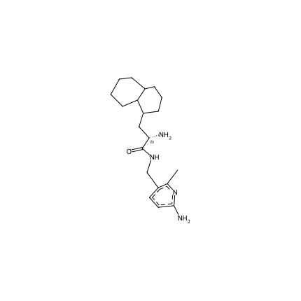 Cc1nc(N)ccc1CNC(=O)[C@@H](N)CC1CCCC2CCCCC21